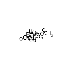 CC(=O)OCC(=O)[C@H]1CC[C@H]2[C@@H]3CCC4=CC(=O)CC[C@]4(C)[C@@]3(F)[C@@H](O)C[C@]12C